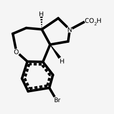 O=C(O)N1C[C@@H]2CCOc3ccc(Br)cc3[C@H]2C1